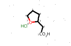 Cl.O=C(O)CC1CCCO1